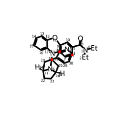 CCN(CC)C(=O)c1ccc2c(c1)Oc1ccccc1N2[C@H]1C[C@H]2CC[C@@H](C1)N2Cc1cccnc1